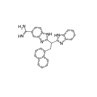 N=C(N)c1ccc2[nH]c(C(Cc3cccc4ccccc34)c3nc4ccccc4[nH]3)nc2c1